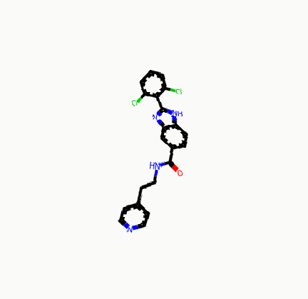 O=C(NCCc1ccncc1)c1ccc2[nH]c(-c3c(Cl)cccc3Cl)nc2c1